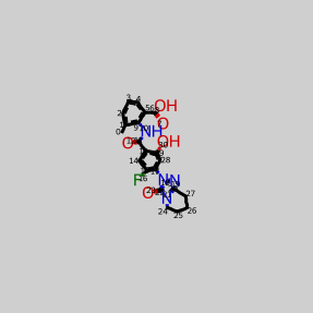 Cc1cccc(C(=O)O)c1NC(=O)c1cc(F)c(-n2nc3n(c2=O)CCCC3)cc1O